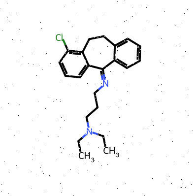 CCN(CC)CCCN=C1c2ccccc2CCc2c(Cl)cccc21